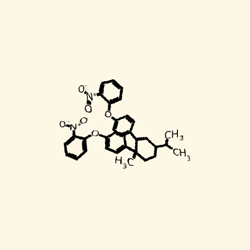 CC(C)C1CCC(C)(c2ccc(Oc3ccccc3[N+](=O)[O-])cc2)C(c2ccc(Oc3ccccc3[N+](=O)[O-])cc2)C1